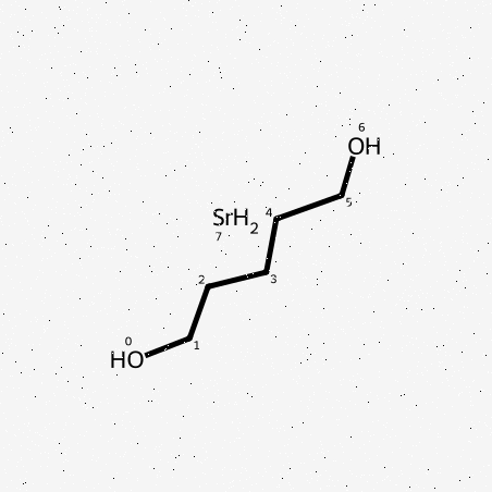 OCCCCCO.[SrH2]